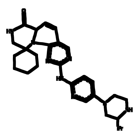 CC(C)C1CN(c2ccc(Nc3ncc4c(n3)N3C(C=C4)C(=O)NCC34CCCCC4)nc2)CCN1